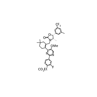 CCOC(=O)c1ccc(-c2ncc(OC)c(C3=C(CN4C(=O)O[C@H](c5cc(C)cc(C(F)(F)F)c5)[C@@H]4C)CC(C)(C)CC3)n2)cc1F